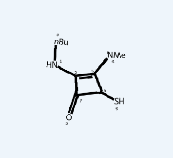 CCCCNC1=C(NC)C(S)C1=O